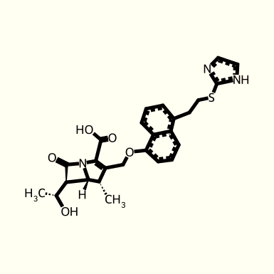 C[C@@H](O)[C@H]1C(=O)N2C(C(=O)O)=C(COc3cccc4c(CCSc5ncc[nH]5)cccc34)[C@H](C)[C@H]12